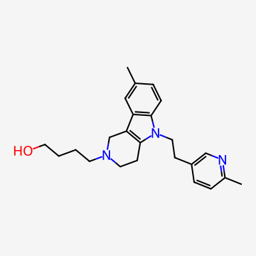 Cc1ccc2c(c1)c1c(n2CCc2ccc(C)nc2)CCN(CCCCO)C1